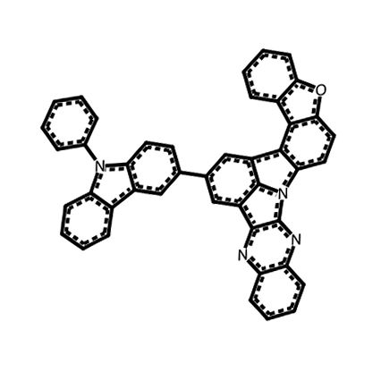 c1ccc(-n2c3ccccc3c3cc(-c4cc5c6nc7ccccc7nc6n6c7ccc8oc9ccccc9c8c7c(c4)c56)ccc32)cc1